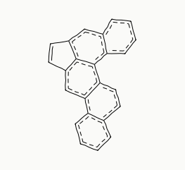 C1=Cc2cc3c4ccccc4ccc3c3c2c1cc1ccccc13